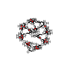 O=C(O)CCSC[C@H]1O[C@@H]2O[C@H]3[C@H](O)[C@@H](O)[C@H]4O[C@H]5[C@H](O)[C@@H](O)[C@@H](O[C@H]6[C@H](O)[C@@H](O)[C@@H](O[C@H]7[C@H](O)[C@@H](O)[C@@H](O[C@H]8[C@H](O)C[C@@](O)(O[C@H]9[C@H](O)[C@@H](O)[C@@H](O[C@H]%10[C@H](O)[C@@H](O)[C@@H](O[C@H]1[C@H](O)[C@H]2O)O[C@@H]%10CSCCC(=O)O)O[C@@H]9CSCCC(=O)O)O[C@@H]8CSCCC(=O)O)O[C@@H]7CSCCC(=O)O)O[C@@H]6CSCCC(=O)O)O[C@@H]5CSCCC(=O)OC[C@H]3O4